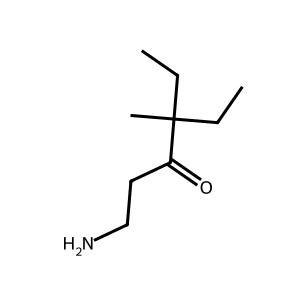 CCC(C)(CC)C(=O)CCN